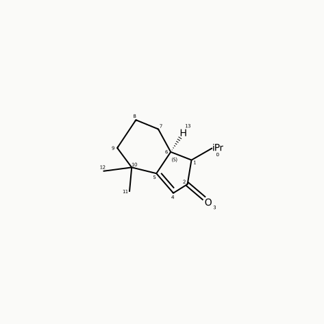 CC(C)C1C(=O)C=C2[C@H]1CCCC2(C)C